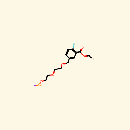 CCOC(=O)c1cc(COCCOCCOPI)ccc1F